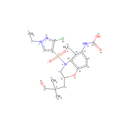 CCn1cc(S(=O)(=O)N2CC(CC(C)(C)C=O)Oc3ccc(NC(=O)O)c(C)c32)c(Cl)n1